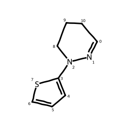 C1=NN(c2cccs2)CCC1